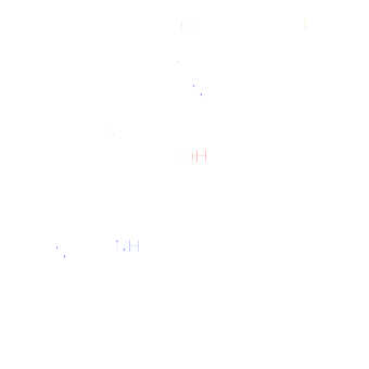 O=C1CC(SCCc2nc3ccccc3[nH]2)C(O)N1c1cccc(F)c1